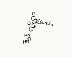 O=C(Nc1ccc(Cl)cc1N1CCN(CCC(F)(F)F)CC1)c1ccc(CN[C@H]2CCNC2)cc1F